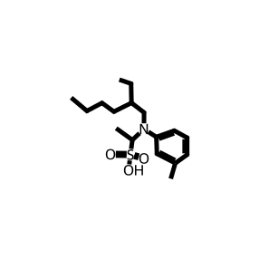 CCCCC(CC)CN(c1cccc(C)c1)C(C)S(=O)(=O)O